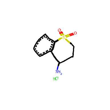 Cl.NC1CCS(=O)(=O)c2ccccc21